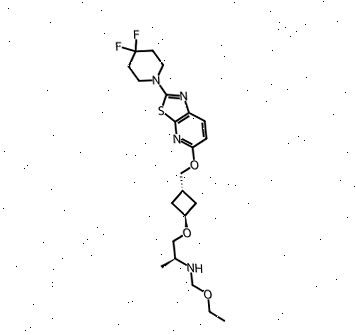 CCOCN[C@@H](C)CO[C@H]1C[C@H](COc2ccc3nc(N4CCC(F)(F)CC4)sc3n2)C1